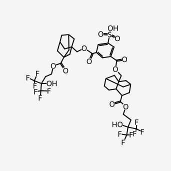 O=C(OCC12CC3CC(C1)CC(C(=O)OCCC(O)(C(F)(F)F)C(F)(F)F)(C3)C2)c1cc(C(=O)OCC23CC4CCC2C(C(=O)OCCC(O)(C(F)(F)F)C(F)(F)F)CC(C4)C3)cc(S(=O)(=O)O)c1